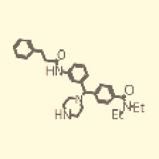 CCN(CC)C(=O)c1ccc(C(c2cccc(NC(=O)CCc3ccccc3)c2)N2CCNCC2)cc1